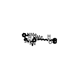 CNCc1ccccc1-c1csc([C@@H](C)Nc2nc(C)nc3cc(OCCCCCCCNC(=O)CC45CC6CC(CC(C6)C4)C5)c(OC)cc23)c1